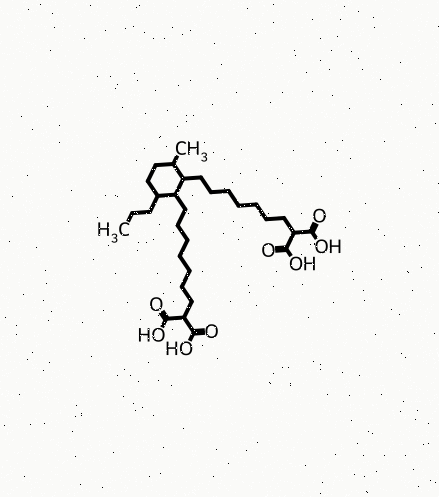 CCCC1CCC(C)C(CCCCCCCC(C(=O)O)C(=O)O)C1CCCCCCCC(C(=O)O)C(=O)O